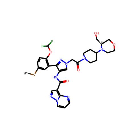 CC(C)Sc1ccc(OC(F)F)c(-c2nn(CC(=O)N3CCC(N4CCOC[C@@H]4CO)CC3)cc2NC(=O)c2cnn3cccnc23)c1